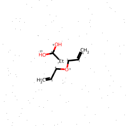 C=CCOCC=C.CCC(O)O